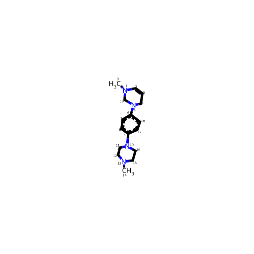 CN1C=CCN(c2ccc(N3CCN(C)CC3)cc2)C1